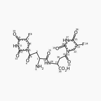 NC(CC(=O)n1cc(F)c(=O)[nH]c1=O)C(=O)NC(CC(=O)n1cc(F)c(=O)[nH]c1=O)C(=O)O